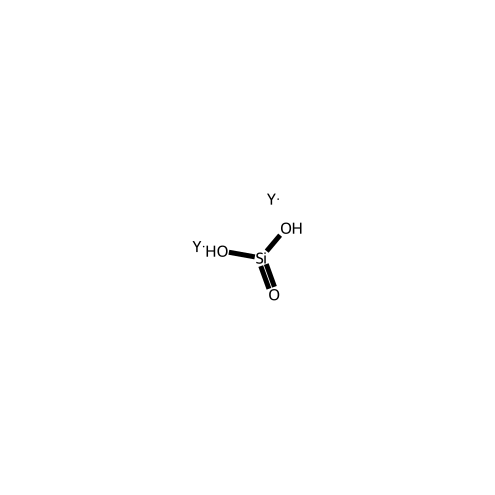 O=[Si](O)O.[Y].[Y]